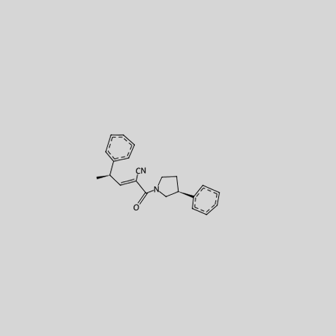 C[C@H](/C=C(\C#N)C(=O)N1CC[C@@H](c2ccccc2)C1)c1ccccc1